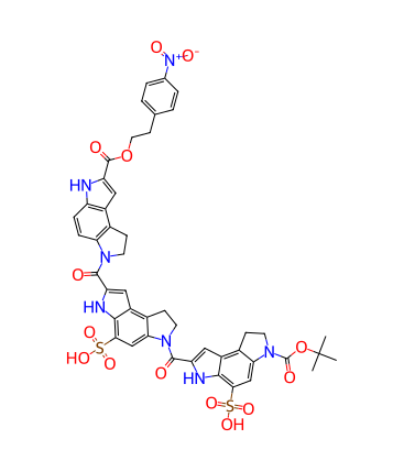 CC(C)(C)OC(=O)N1CCc2c1cc(S(=O)(=O)O)c1[nH]c(C(=O)N3CCc4c3cc(S(=O)(=O)O)c3[nH]c(C(=O)N5CCc6c5ccc5[nH]c(C(=O)OCCc7ccc([N+](=O)[O-])cc7)cc65)cc43)cc21